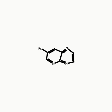 CC(C)c1cnc2nccnc2c1